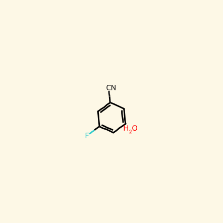 N#Cc1cccc(F)c1.O